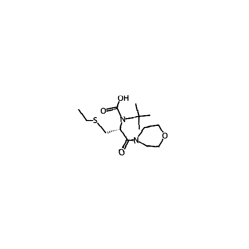 CCSC[C@@H](C(=O)N1CCOCC1)N(C(=O)O)C(C)(C)C